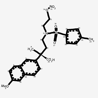 COc1ccc2cc([C@](C)(CCN(CCO[N+](=O)[O-])S(=O)(=O)c3ccc(C)cc3)C(=O)O)ccc2c1